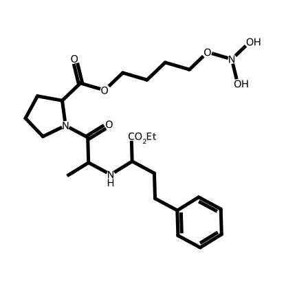 CCOC(=O)C(CCc1ccccc1)NC(C)C(=O)N1CCCC1C(=O)OCCCCON(O)O